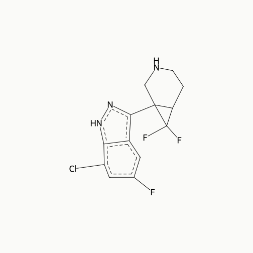 Fc1cc(Cl)c2[nH]nc(C34CNCCC3C4(F)F)c2c1